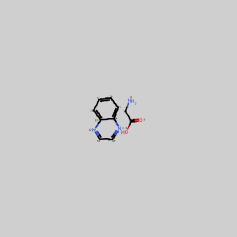 NCC(=O)O.c1ccc2nccnc2c1